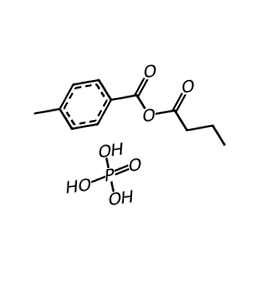 CCCC(=O)OC(=O)c1ccc(C)cc1.O=P(O)(O)O